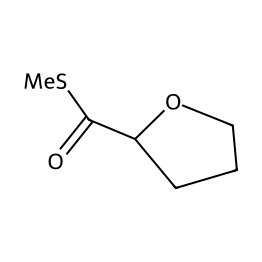 CSC(=O)C1CCCO1